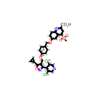 CS(=O)(=O)c1cc(C(=O)O)nc2ccc(OCC34CCC(OCc5c(-c6c(Cl)cncc6Cl)noc5C5CC5)(CC3)CC4)cc12